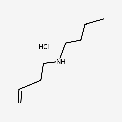 C=CCCNCCCC.Cl